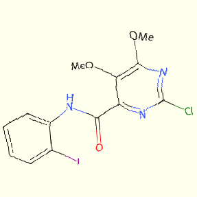 COc1nc(Cl)nc(C(=O)Nc2ccccc2I)c1OC